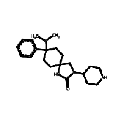 CN(C)C1(c2ccccc2)CCC2(CC1)CN(C1CCNCC1)C(=O)N2